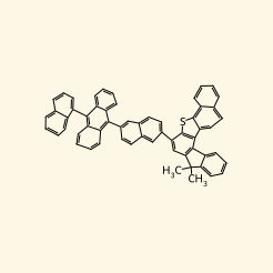 CC1(C)c2ccccc2-c2c1cc(-c1ccc3cc(-c4c5ccccc5c(-c5cccc6ccccc56)c5ccccc45)ccc3c1)c1sc3c4ccccc4ccc3c21